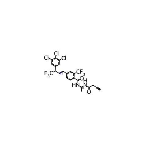 C#CCC(=O)N[C@@H](C)NC(=O)c1ccc(/C=C/C(c2cc(Cl)c(Cl)c(Cl)c2)C(F)(F)F)cc1C(F)(F)F